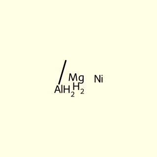 [CH3][AlH2].[MgH2].[Ni]